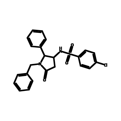 O=C1CC(NS(=O)(=O)c2ccc(Cl)cc2)C(c2ccccc2)N1Cc1ccccc1